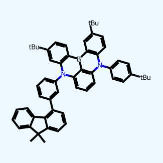 CC(C)(C)c1ccc(N2c3ccc(C(C)(C)C)cc3B3c4ccc(C(C)(C)C)cc4N(c4cccc(-c5cccc6c5-c5ccccc5C6(C)C)c4)c4cccc2c43)cc1